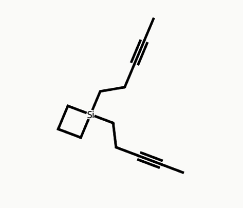 CC#CCC[Si]1(CCC#CC)CCC1